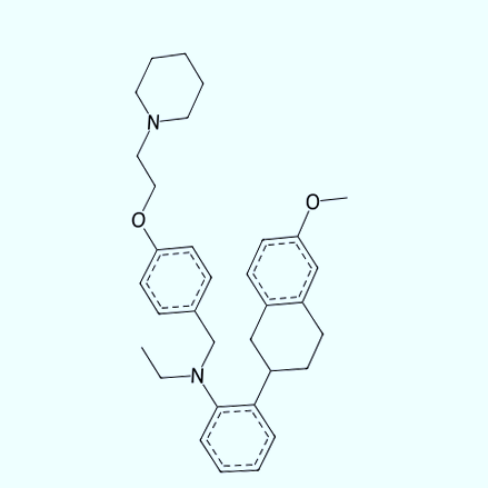 CCN(Cc1ccc(OCCN2CCCCC2)cc1)c1ccccc1C1CCc2cc(OC)ccc2C1